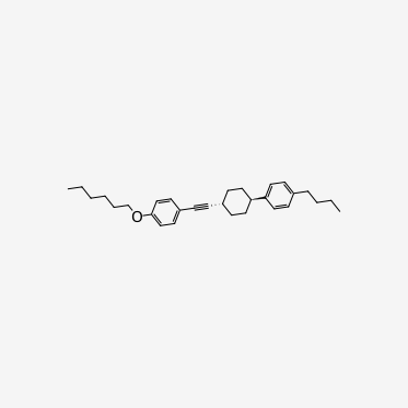 CCCCCCOc1ccc(C#C[C@H]2CC[C@H](c3ccc(CCCC)cc3)CC2)cc1